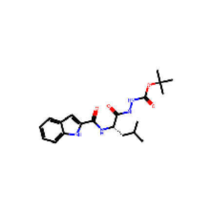 CC(C)C[C@H](NC(=O)c1cc2ccccc2[nH]1)C(=O)NNC(=O)OC(C)(C)C